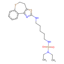 CCN(CC)S(=O)(=O)NCCCCCNc1nc2c(s1)CCSc1ccccc1-2